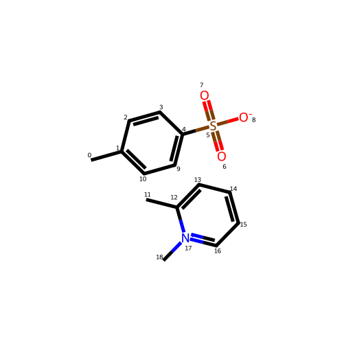 Cc1ccc(S(=O)(=O)[O-])cc1.Cc1cccc[n+]1C